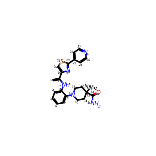 C=C(Nc1ccccc1N1CCC(NC)(C(N)=O)CC1)c1csc(-c2ccncc2)n1